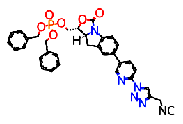 [C-]#[N+]Cc1cn(-c2ccc(-c3ccc4c(c3)C[C@H]3[C@H](COP(=O)(OCc5ccccc5)OCc5ccccc5)OC(=O)N43)cn2)nn1